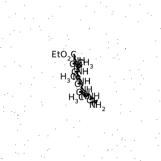 CCOC(=O)CCNC(=O)c1nc(NC(=O)c2cc(NC(=O)CCNC(=O)c3nc(NC(=O)CC4(CN)CC4)cn3C)cn2C)cn1C